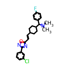 CN(C)C(c1ccc(F)cc1)C1CCC(/C=C/c2nc(-c3cccc(Cl)c3)no2)CC1